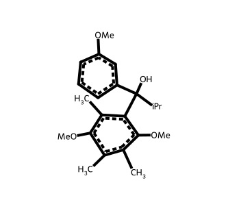 COc1cccc(C(O)(c2c(C)c(OC)c(C)c(C)c2OC)C(C)C)c1